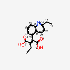 CCC(C(=O)O)=C(C(=O)O)c1cccc2nc(CC)ccc12